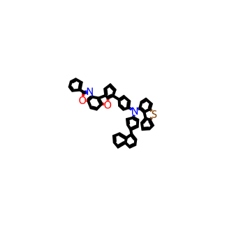 c1ccc(-c2nc3c(ccc4oc5c(-c6ccc(N(c7ccc(-c8cccc9ccccc89)cc7)c7cccc8sc9ccccc9c78)cc6)cccc5c43)o2)cc1